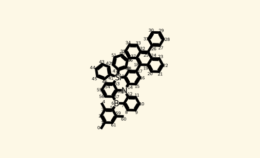 Cc1cc(C)c(B2c3ccccc3N3c4ccc(-c5c6ccccc6c(-c6ccccc6)c6ccccc56)cc4[Si](c4ccccc4)(c4ccccc4)c4cccc2c43)c(C)c1